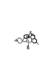 Cc1cc(C(C#N)OCC2(c3ccc(F)cc3)CCN(C)CC2)c2[nH]ncc2c1